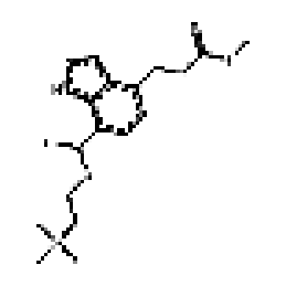 CSC(=S)OCc1ccc(C(Cl)OCC[Si](C)(C)C)c2[nH]ncc12